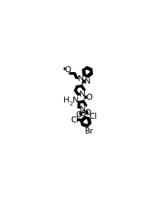 COCCCn1c([C@@H]2CCCN(C(=O)[C@@H]3CN(S(=O)(=O)c4c(Cl)cc(Br)cc4Cl)C[C@H]3N)C2)nc2ccccc21